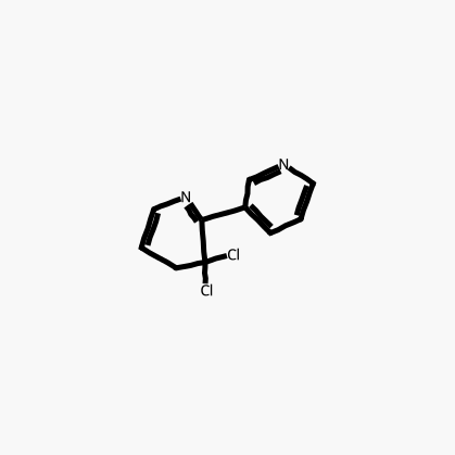 ClC1(Cl)CC=CN=C1c1cccnc1